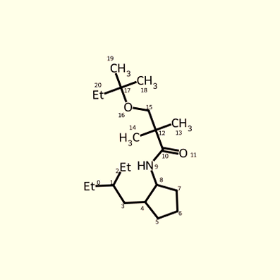 CCC(CC)CC1CCCC1NC(=O)C(C)(C)COC(C)(C)CC